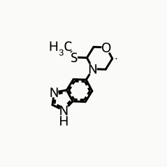 CSC1CO[CH]CN1c1ccc2[nH]cnc2c1